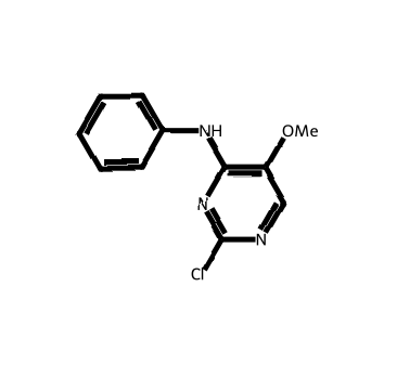 COc1cnc(Cl)nc1Nc1ccccc1